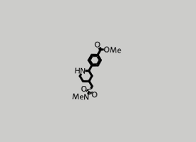 CNS(=O)(=O)CC1CCNC(c2ccc(C(=O)OC)cc2)C1